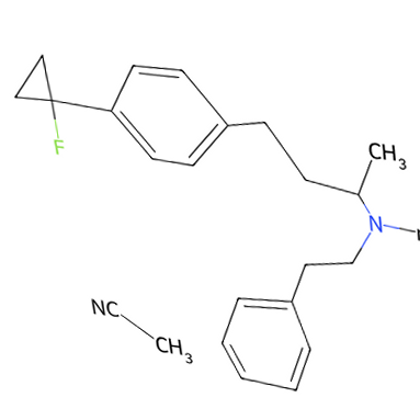 CC#N.CCCN(CCc1ccccc1)C(C)CCc1ccc(C2(F)CC2)cc1